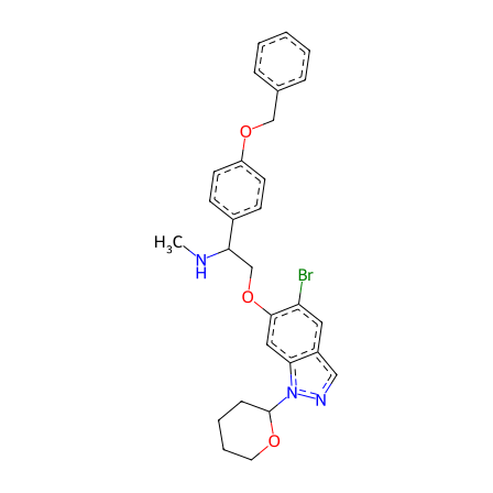 CNC(COc1cc2c(cnn2C2CCCCO2)cc1Br)c1ccc(OCc2ccccc2)cc1